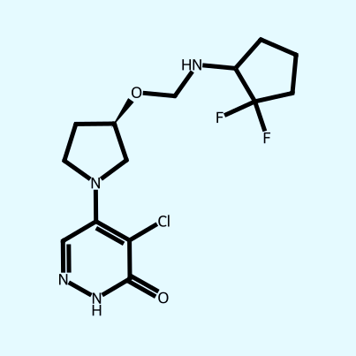 O=c1[nH]ncc(N2CC[C@@H](OCNC3CCCC3(F)F)C2)c1Cl